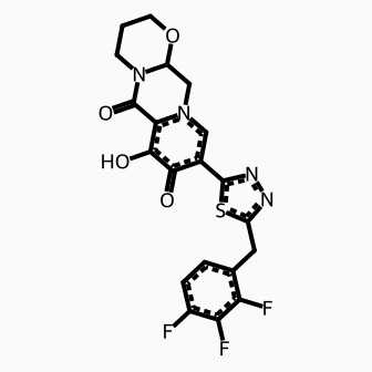 O=C1c2c(O)c(=O)c(-c3nnc(Cc4ccc(F)c(F)c4F)s3)cn2CC2OCCCN12